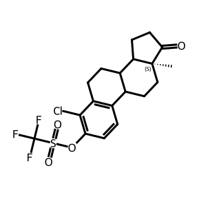 C[C@]12CCC3c4ccc(OS(=O)(=O)C(F)(F)F)c(Cl)c4CCC3C1CCC2=O